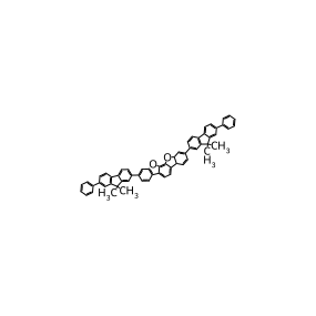 CC1(C)c2cc(C3=CC4Oc5c(ccc6c5oc5cc(-c7ccc8c(c7)C(C)(C)c7cc(-c9ccccc9)ccc7-8)ccc56)C4C=C3)ccc2-c2ccc(-c3ccccc3)cc21